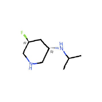 CC(C)N[C@@H]1CNC[C@@H](F)C1